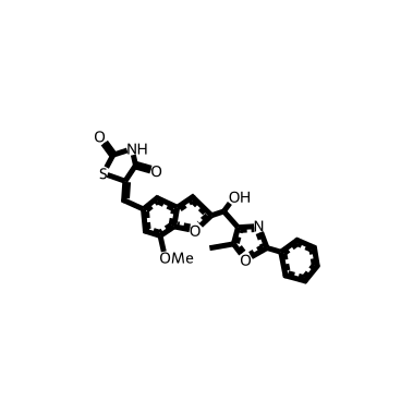 COc1cc(C=C2SC(=O)NC2=O)cc2cc(C(O)c3nc(-c4ccccc4)oc3C)oc12